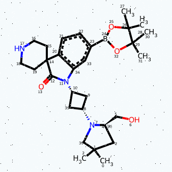 CC1(C)C[C@H](CO)N([C@H]2C[C@@H](N3C(=O)C4(CCNCC4)c4ccc(B5OC(C)(C)C(C)(C)O5)cc43)C2)C1